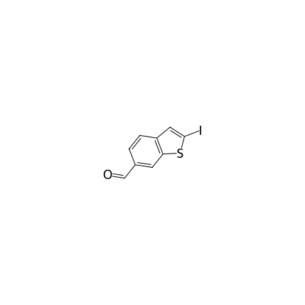 O=Cc1ccc2cc(I)sc2c1